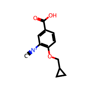 [C-]#[N+]c1cc(C(=O)O)ccc1OCC1CC1